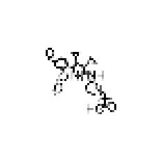 CCOCOc1cc(C=O)ccc1-c1nnc(N[C@@H]2CCCN(CC(C)(C)C(=O)O)C2)c(C2CC2)c1C1CC1